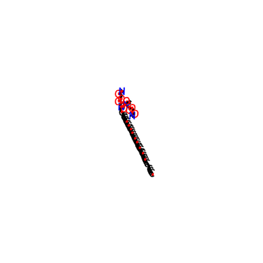 C=C=C=C=C=C=C=C=C=C=C=C=C=C=C=C=C=C=C=C=C=C=C=C=C=C=C=C=C=C=C=C=C=C=C=CN(CCC(=O)OCCC(=O)N(C)C)C(=O)C(C)N(CCC(=O)OCCC(=O)N(C)C)C(=O)C(C)C